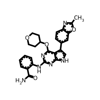 Cc1nc2ccc(-c3c[nH]c4nc(Nc5ccccc5C(N)=O)nc(OC5CCOCC5)c34)cc2o1